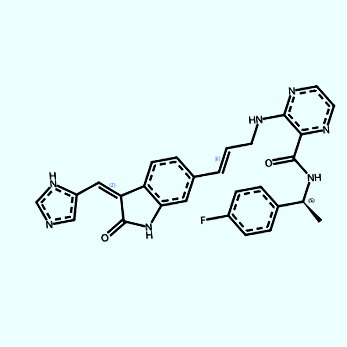 C[C@H](NC(=O)c1nccnc1NC/C=C/c1ccc2c(c1)NC(=O)/C2=C\c1cnc[nH]1)c1ccc(F)cc1